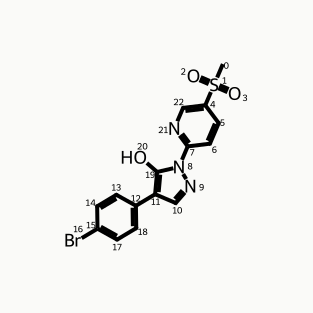 CS(=O)(=O)c1ccc(-n2ncc(-c3ccc(Br)cc3)c2O)nc1